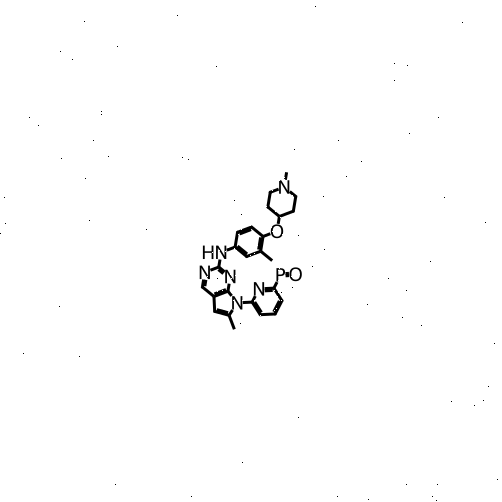 Cc1cc(Nc2ncc3cc(C)n(-c4cccc(P=O)n4)c3n2)ccc1OC1CCN(C)CC1